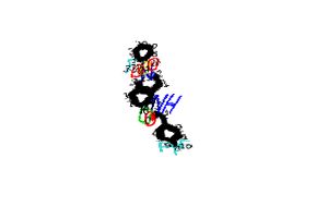 O=C(Cc1ccc(C(F)(F)F)cc1)Nc1c(Cl)ccc2c1CCN(S(=O)(=O)c1ccccc1F)C2